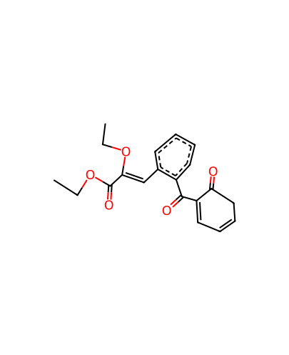 CCOC(=O)C(=Cc1ccccc1C(=O)C1=CC=CCC1=O)OCC